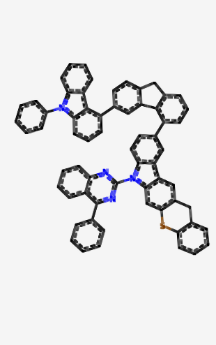 c1ccc(-c2nc(-n3c4ccc(-c5cccc6c5-c5cc(-c7cccc8c7c7ccccc7n8-c7ccccc7)ccc5C6)cc4c4cc5c(cc43)Sc3ccccc3C5)nc3ccccc23)cc1